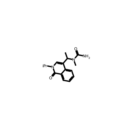 CC(c1cn(C(C)C)c(=O)c2ccccc12)N(C)C(N)=O